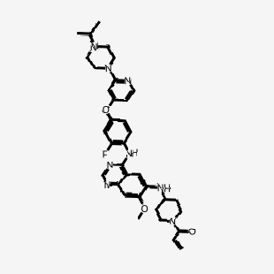 C=CC(=O)N1CCC(Nc2cc3c(Nc4ccc(Oc5ccnc(N6CCN(C(C)C)CC6)c5)cc4F)ncnc3cc2OC)CC1